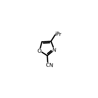 CC(C)c1coc(C#N)n1